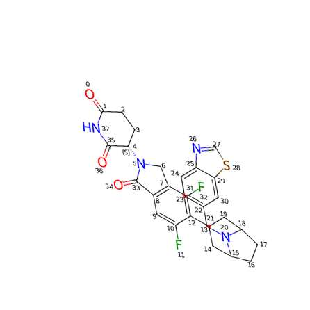 O=C1CC[C@H](N2Cc3c(cc(F)c(C4CC5CCC(C4)N5Cc4ccc5ncsc5c4)c3F)C2=O)C(=O)N1